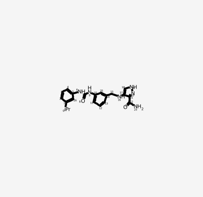 CC(C)c1cccc(NC(=O)Nc2cccc(CNc3c[nH]nc3C(N)=O)c2)c1